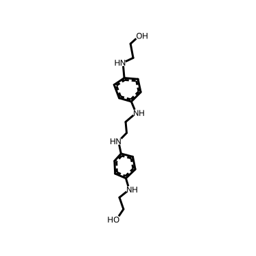 OCCNc1ccc(NCCNc2ccc(NCCO)cc2)cc1